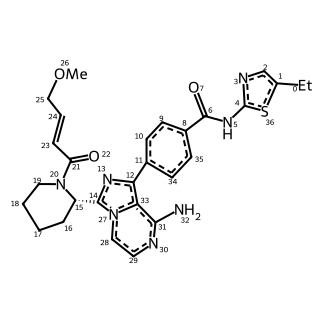 CCc1cnc(NC(=O)c2ccc(-c3nc([C@@H]4CCCCN4C(=O)/C=C/COC)n4ccnc(N)c34)cc2)s1